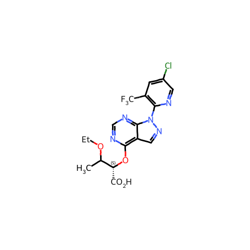 CCOC(C)[C@H](Oc1ncnc2c1cnn2-c1ncc(Cl)cc1C(F)(F)F)C(=O)O